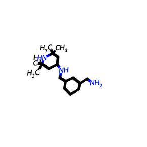 CC1(C)CC(NCC2CCCC(CN)C2)CC(C)(C)N1